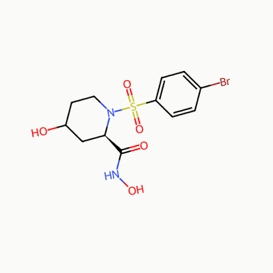 O=C(NO)[C@H]1CC(O)CCN1S(=O)(=O)c1ccc(Br)cc1